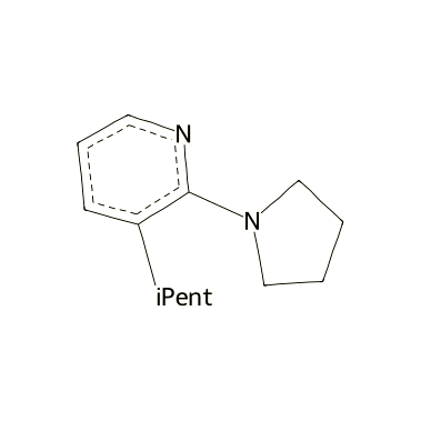 CCCC(C)c1cccnc1N1CCCC1